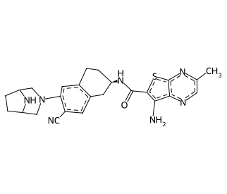 Cc1cnc2c(N)c(C(=O)N[C@@H]3CCc4cc(N5CC6CCC(C5)N6)c(C#N)cc4C3)sc2n1